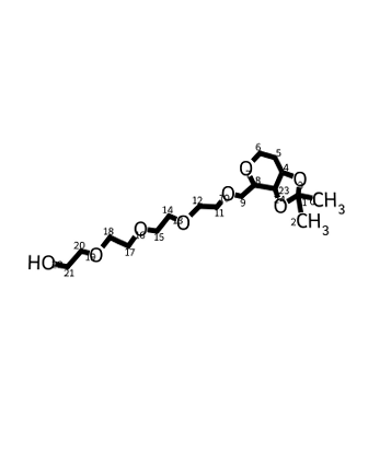 CC1(C)OC2CCOC(COCCOCCOCCOCCO)C2O1